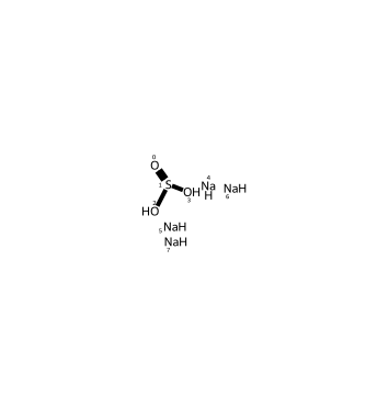 O=S(O)O.[NaH].[NaH].[NaH].[NaH]